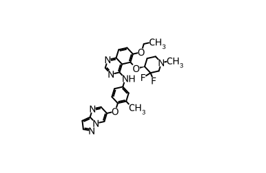 CCOc1ccc2ncnc(Nc3ccc(Oc4cnc5ccnn5c4)c(C)c3)c2c1O[C@H]1CCN(C)CC1(F)F